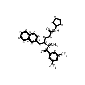 CN(C(=O)c1cc(C(F)(F)F)cc(C(F)(F)F)c1)C(CCC(=O)NC1CCCC1)Cc1ccc2ccccc2c1